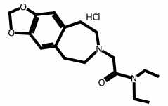 CCN(CC)C(=O)CN1CCc2cc3c(cc2CC1)OCO3.Cl